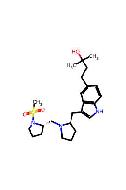 CC(C)(O)CCc1ccc2[nH]cc(C[C@H]3CCCN3C[C@@H]3CCCN3S(C)(=O)=O)c2c1